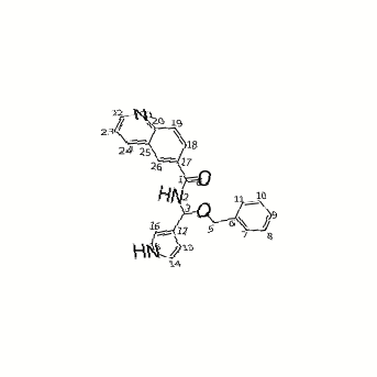 O=C(NC(OCc1ccccc1)c1cc[nH]c1)c1ccc2ncccc2c1